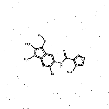 CCc1nc2c(cc1NC(=O)c1cscc1OC)c(OC(C)C)c(C(=O)O)n2C